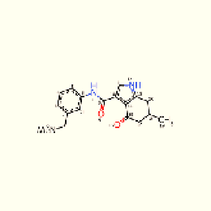 CNCc1cccc(NC(=O)c2c[nH]c3c2C(=O)CC(C)C3)c1